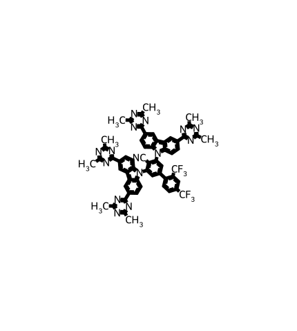 Cc1nc(C)nc(-c2ccc3c(c2)c2cc(-c4nc(C)nc(C)n4)ccc2n3-c2cc(-c3ccc(C(F)(F)F)cc3C(F)(F)F)cc(-n3c4ccc(-c5nc(C)nc(C)n5)cc4c4cc(-c5nc(C)nc(C)n5)ccc43)c2C#N)n1